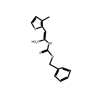 Cc1ccsc1/C=C(/NC(=O)OCc1ccccc1)C(=O)O